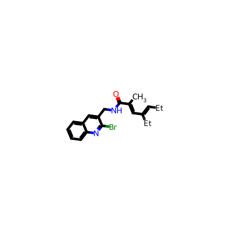 CCC=C(C=C(C)C(=O)NCc1cc2ccccc2nc1Br)CC